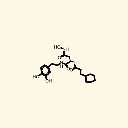 O=C(C[C@@H](NC(=O)CCC1CCCCC1)C(=O)NCCc1ccc(O)c(O)c1)NO